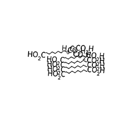 CC(C(=O)O)C(=O)O.O=C(O)CCCCCCCCC(=O)O.O=C(O)CCCCCCCCC(=O)O.O=C(O)CCCCCCCCC(=O)O.O=C(O)CCCCCCCCC(=O)O.O=C(O)CCCCCCCCC(=O)O